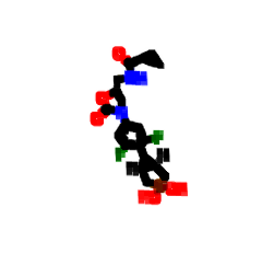 O=C(NC[C@H]1CN(c2cc(F)c(C3[C@H]4CS(O)(O)C[C@@H]34)c(F)c2)C(=O)O1)C1CC1